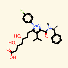 CC(C)c1c(C(=O)N(C)[C@@H](C)c2ccccc2)nn(-c2ccc(F)cc2)c1CC[C@@H](O)C[C@@H](O)CC(=O)O